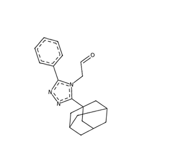 O=CCn1c(-c2ccccc2)nnc1C12CC3CC(CC(C3)C1)C2